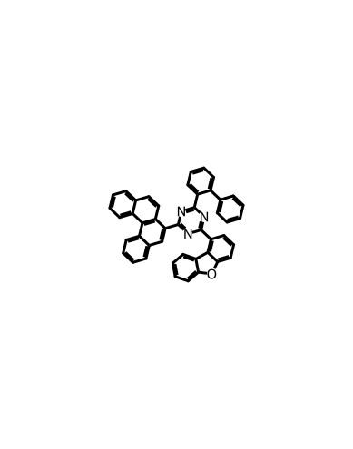 c1ccc(-c2ccccc2-c2nc(-c3cc4ccccc4c4c3ccc3ccccc34)nc(-c3cccc4oc5ccccc5c34)n2)cc1